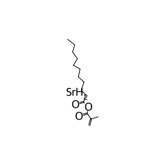 C=C(C)C(=O)OC(=O)CCCCCCCCCC.[SrH2]